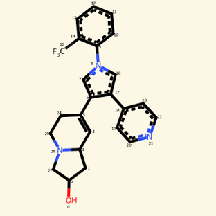 OC1CC2C=C(c3cn(-c4ccccc4C(F)(F)F)cc3-c3ccncc3)CCN2C1